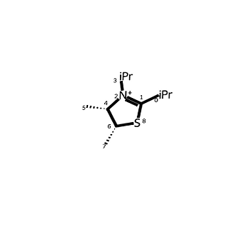 CC(C)C1=[N+](C(C)C)[C@@H](C)[C@@H](C)S1